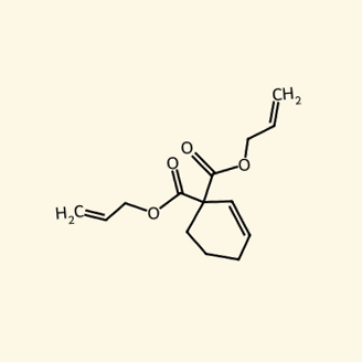 C=CCOC(=O)C1(C(=O)OCC=C)C=CCCC1